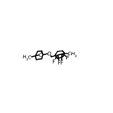 CC12CCC(OCC34CCC(C)(CC3)C(F)(F)C4(F)F)(CC1)CC2